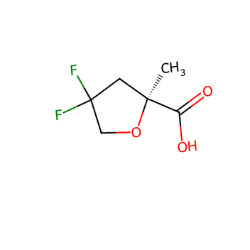 C[C@@]1(C(=O)O)CC(F)(F)CO1